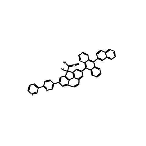 [2H]C(=C=C)C1([2H])c2cc(-c3ccc(-c4cccnc4)nc3)cc3ccc4cc(-c5c6ccccc6c(-c6ccc7ccccc7c6)c6ccccc56)cc1c4c23